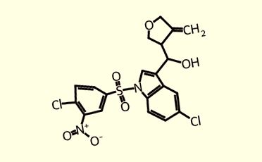 C=C1COCC1C(O)c1cn(S(=O)(=O)c2ccc(Cl)c([N+](=O)[O-])c2)c2ccc(Cl)cc12